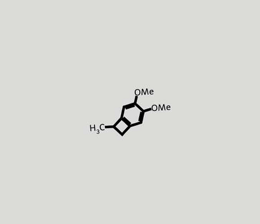 COc1cc2c(cc1OC)C(C)C2